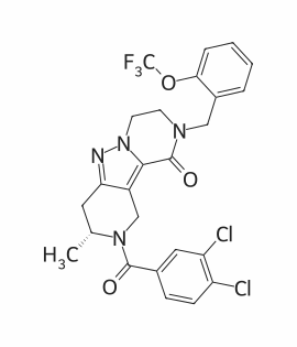 C[C@@H]1Cc2nn3c(c2CN1C(=O)c1ccc(Cl)c(Cl)c1)C(=O)N(Cc1ccccc1OC(F)(F)F)CC3